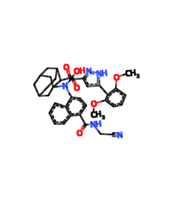 COc1cccc(OC)c1-c1cc(C(=O)N(c2ccc(C(=O)NCC#N)c3ccccc23)C23CC4CC(CC(C4)C2C(=O)O)C3)n[nH]1